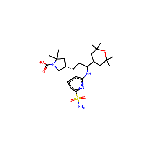 CC1(C)CC(C(CC[C@@H]2CN(C(=O)O)C(C)(C)C2)Nc2cccc(S(N)(=O)=O)n2)CC(C)(C)O1